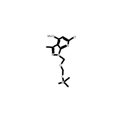 COc1cc(Cl)nc2c1c(I)nn2COCC[Si](C)(C)C